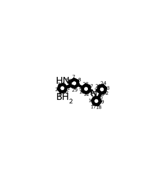 Bc1ccc2[nH]c3ccc(-c4ccc(-n5c6ccccc6c6ccccc65)cc4)cc3c2c1